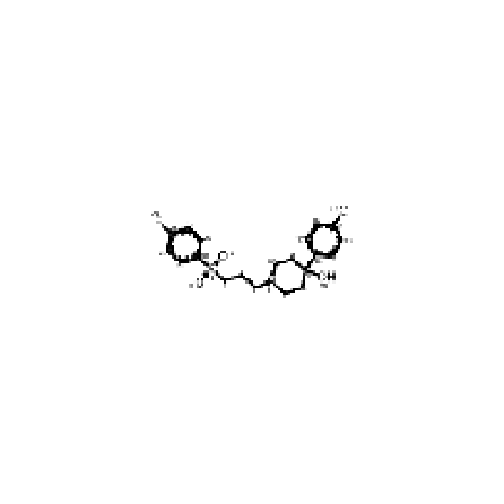 O=S(=O)(CCCN1CCC(O)(c2ccc(Cl)cc2)CC1)c1ccc(F)cc1